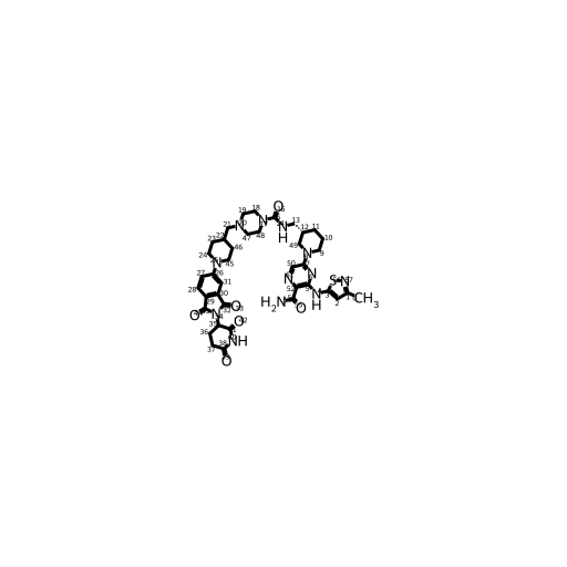 Cc1cc(Nc2nc(N3CCC[C@@H](CNC(=O)N4CCN(CC5CCN(c6ccc7c(c6)C(=O)N(C6CCC(=O)NC6=O)C7=O)CC5)CC4)C3)cnc2C(N)=O)sn1